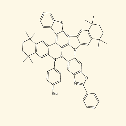 CC(C)(C)c1ccc(N2B3c4cc5nc(-c6ccccc6)oc5cc4-n4c5cc6c(cc5c5c7sc8ccccc8c7c(c3c54)-c3cc4c(cc32)C(C)(C)CCC4(C)C)C(C)(C)CCC6(C)C)cc1